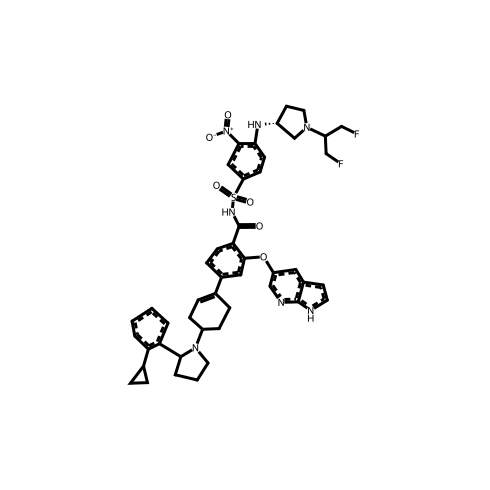 O=C(NS(=O)(=O)c1ccc(N[C@@H]2CCN(C(CF)CF)C2)c([N+](=O)[O-])c1)c1ccc(C2=CCC(N3CCCC3c3ccccc3C3CC3)CC2)cc1Oc1cnc2[nH]ccc2c1